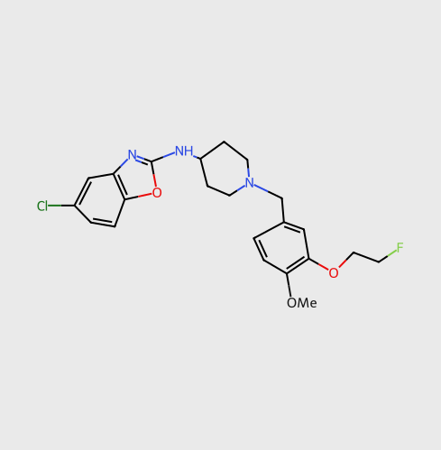 COc1ccc(CN2CCC(Nc3nc4cc(Cl)ccc4o3)CC2)cc1OCCF